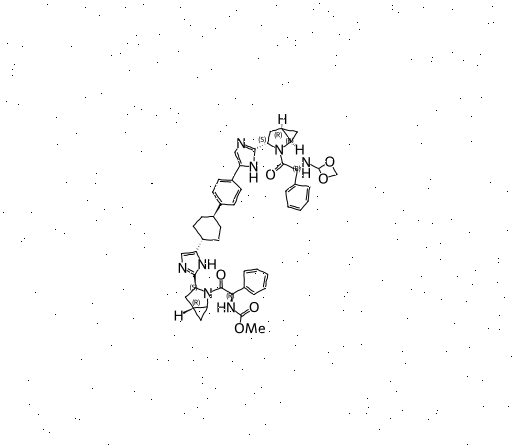 COC(=O)N[C@@H](C(=O)N1C2C[C@@H]2C[C@H]1c1ncc([C@H]2CC[C@H](c3ccc(-c4cnc([C@@H]5C[C@H]6C[C@H]6N5C(=O)[C@H](NC5OCO5)c5ccccc5)[nH]4)cc3)CC2)[nH]1)c1ccccc1